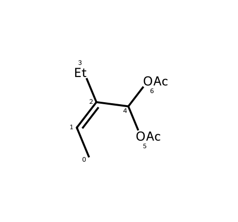 CC=C(CC)C(OC(C)=O)OC(C)=O